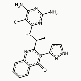 C[C@H](Nc1nc(N)nc(N)c1Cl)c1nc2ccccc2c(=O)n1-c1cc[nH]n1